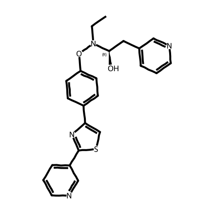 CCN(Oc1ccc(-c2csc(-c3cccnc3)n2)cc1)[C@H](O)Cc1cccnc1